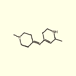 CC1C=C([C]=C2CCN(C)CC2)CCN1